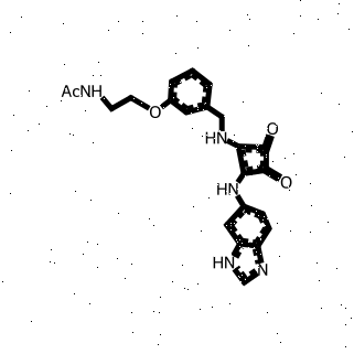 CC(=O)NCCOc1cccc(CNc2c(Nc3ccc4nc[nH]c4c3)c(=O)c2=O)c1